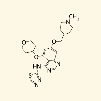 CN1CCC(COc2cc(OC3CCOCC3)c3c(Nc4nncs4)ncnc3c2)CC1